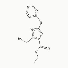 CCOC(=O)c1sc(Oc2ccccc2)nc1CBr